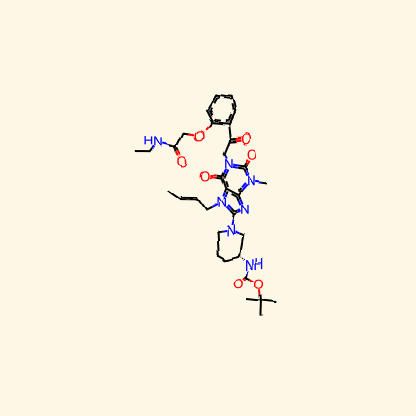 C/C=C/Cn1c(N2CCC[C@@H](NC(=O)OC(C)(C)C)C2)nc2c1c(=O)n(CC(=O)c1ccccc1OCC(=O)NCC)c(=O)n2C